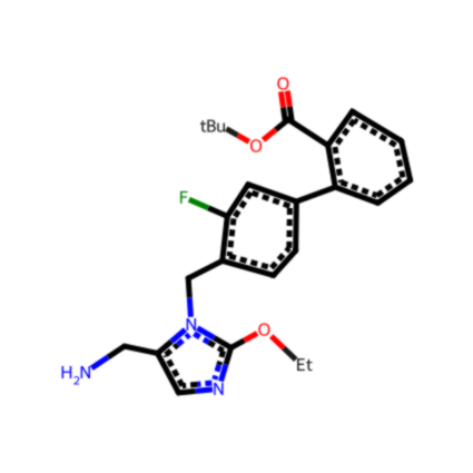 CCOc1ncc(CN)n1Cc1ccc(-c2ccccc2C(=O)OC(C)(C)C)cc1F